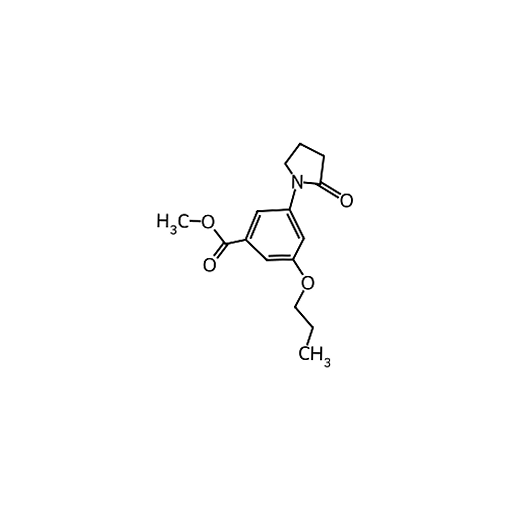 CCCOc1cc(C(=O)OC)cc(N2CCCC2=O)c1